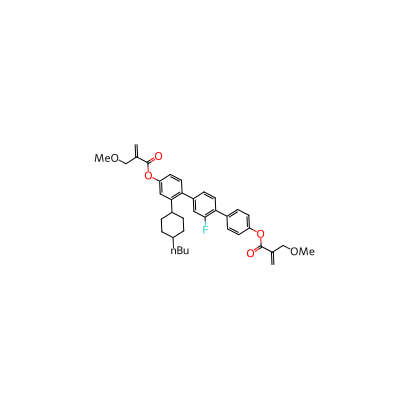 C=C(COC)C(=O)Oc1ccc(-c2ccc(-c3ccc(OC(=O)C(=C)COC)cc3C3CCC(CCCC)CC3)cc2F)cc1